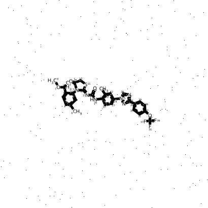 COC(C)c1ccc(C)cc1N1C(=O)CS/C1=N\C(=O)Nc1ccc(-n2cnc(-c3ccc(OC(F)(F)F)cc3)n2)cc1C